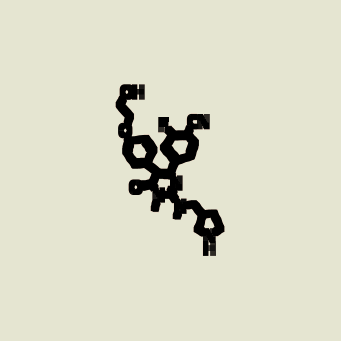 CN(CC1CCNC1)c1nc(-c2ccc(C#N)c(F)c2)c(-c2ccc(OCCO)cc2)c(=O)n1C